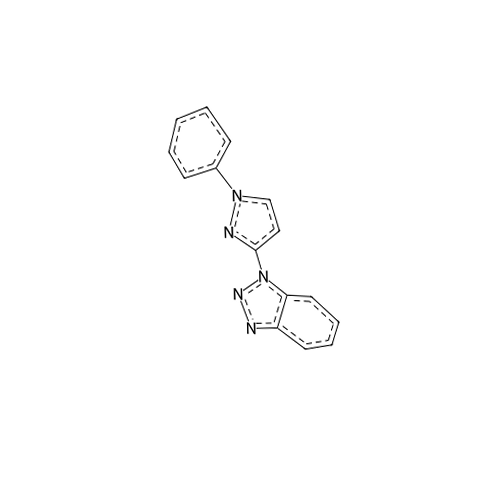 c1ccc(-n2ccc(-n3nnc4ccccc43)n2)cc1